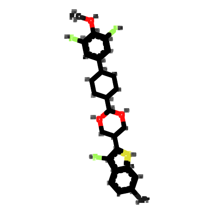 CCCc1ccc2c(F)c(C3COC(C4CCC(c5cc(F)c(OC(F)(F)F)c(F)c5)CC4)OC3)sc2c1